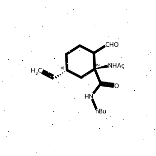 C=C[C@@H]1CCC(C=O)[C@](NC(C)=O)(C(=O)NCCCC)C1